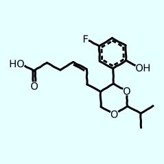 CC(C)C1OCC(C/C=C\CCC(=O)O)C(c2cc(F)ccc2O)O1